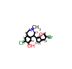 CN1CCc2cc(Cl)c(O)cc2C(C2=C3OC=C(Br)C=C3CC2)C1